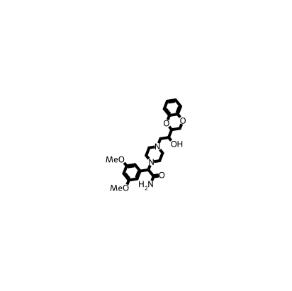 COc1cc(OC)cc(C(C(N)=O)N2CCN(CC(O)C3COc4ccccc4O3)CC2)c1